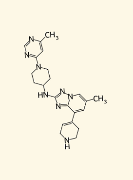 Cc1cc(C2=CCNCC2)c2nc(NC3CCN(c4cc(C)ncn4)CC3)nn2c1